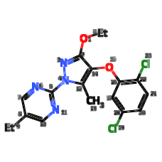 CCOc1nn(-c2ncc(CC)cn2)c(C)c1Oc1cc(Cl)ccc1Cl